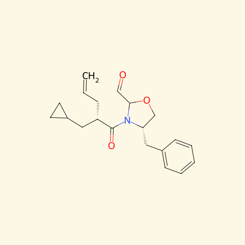 C=CC[C@@H](CC1CC1)C(=O)N1C(C=O)OC[C@@H]1Cc1ccccc1